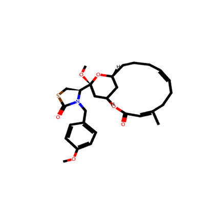 COc1ccc(CN2C(=O)SC[C@H]2[C@@]2(OC)C[C@@H]3C[C@@H](CCC/C=C\CC/C(C)=C\C(=O)O3)O2)cc1